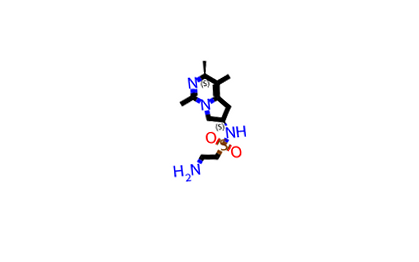 CC1=N[C@@H](C)C(C)=C2C[C@H](NS(=O)(=O)CCN)CN12